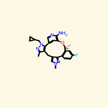 Cc1nn(CC2CC2)c2c1Cc1cn(C)nc1-c1ccc(F)cc1[C@@H](C)Oc1cc-2cnc1N